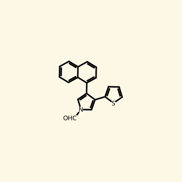 O=Cn1cc(-c2cccs2)c(-c2cccc3ccccc23)c1